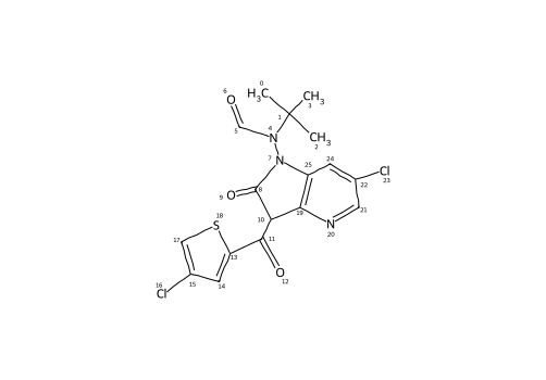 CC(C)(C)N(C=O)N1C(=O)C(C(=O)c2cc(Cl)cs2)c2ncc(Cl)cc21